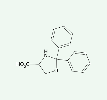 O=C(O)C1COC(c2ccccc2)(c2ccccc2)N1